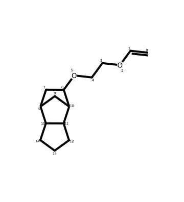 C=COCCOC1CC2CC1C1CCCC21